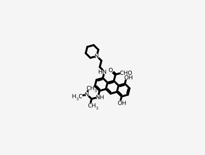 CC(Nc1ccc(NCCN2CCCCC2)c2c(C(=O)C=O)c3c(O)ccc(O)c3cc12)N(C)C